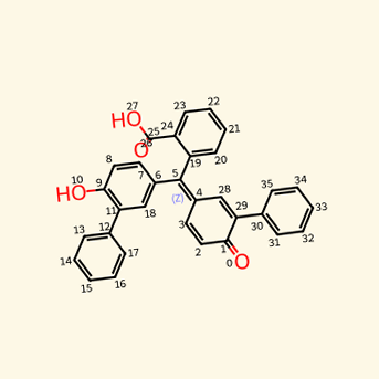 O=C1C=C/C(=C(\c2ccc(O)c(-c3ccccc3)c2)c2ccccc2C(=O)O)C=C1c1ccccc1